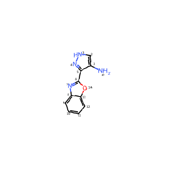 Nc1c[nH]nc1-c1nc2ccccc2o1